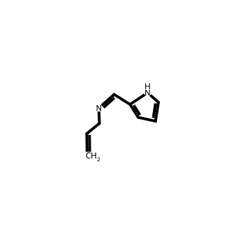 C=CC/N=C\c1ccc[nH]1